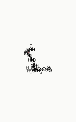 Cc1cccc(-c2nc(CNc3cccc(F)c3)[nH]c2-c2ccc3ncc(OCCCCNC(=O)OCc4ccc(NC(=O)[C@H](C)NC(=O)[C@@H](NC(=O)CCOCCOCCOCCOCCN5C(=O)C=CC5=O)C(C)C)cc4)cc3c2)n1